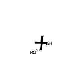 CC(C)(C)S.Cl